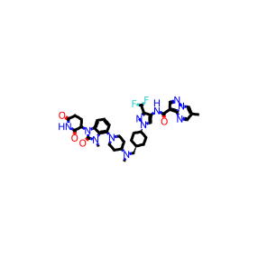 Cc1cnc2c(C(=O)Nc3cn([C@H]4CC[C@H](CN(C)C5CCN(c6cccc7c6n(C)c(=O)n7C6CCC(=O)NC6=O)CC5)CC4)nc3C(F)F)cnn2c1